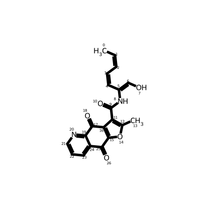 C\C=C/C=C\C(=C\O)NC(=O)c1c(C)oc2c1C(=O)c1ncccc1C2=O